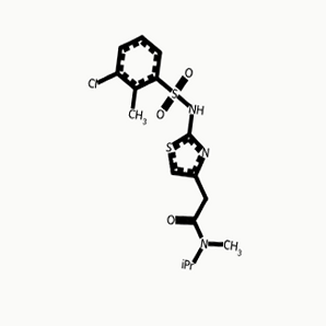 Cc1c(Cl)cccc1S(=O)(=O)Nc1nc(CC(=O)N(C)C(C)C)cs1